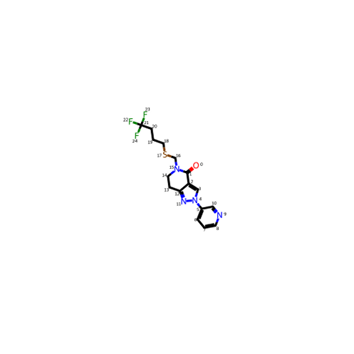 O=C1c2cn(-c3cccnc3)nc2CCN1CSCCCC(F)(F)F